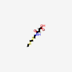 CCSCCSCCNC(=O)CCC(=O)O